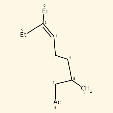 CCC(=CCCC(C)CC(C)=O)CC